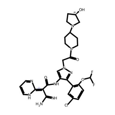 N=C(N)/C(C(=O)Nc1cn(CC(=O)N2CCC(N3CC[C@@H](O)C3)CC2)nc1-c1cc(Cl)ccc1OC(F)F)=C1/N=CC=CN1